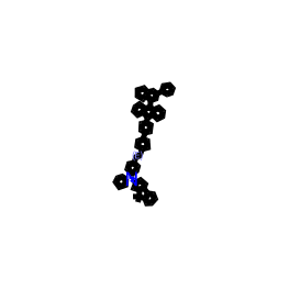 CC1(C)c2ccccc2-c2ccc(N(c3ccccc3)c3ccc(/C=C/c4ccc(-c5ccc(-c6c7ccccc7c(-c7cc(-c8ccccc8)cc8ccccc78)c7ccccc67)cc5)cc4)cc3)cc21